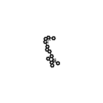 c1ccc(-c2ccc3ccc4ccc(-c5ccc6c(ccc7cc(-c8ccc(-c9nn(-c%10ccccc%10)c%10c9c(-c9ccccc9)cc9ccccc9%10)cc8)ccc76)c5)nc4c3n2)cc1